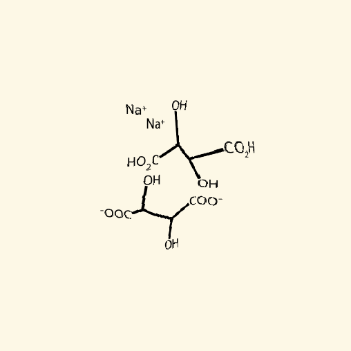 O=C(O)C(O)C(O)C(=O)O.O=C([O-])C(O)C(O)C(=O)[O-].[Na+].[Na+]